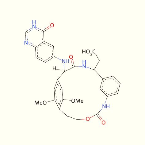 COc1cc2cc(OC)c1CCOC(=O)Nc1cccc(c1)C(CC(=O)O)NC(=O)[C@@H]2Nc1ccc2nc[nH]c(=O)c2c1